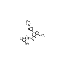 CCCc1cc(C)[nH]c(=O)c1CNC(=O)c1cc(-c2ccc(N3CCOCC3)nc2)c2ccn(CC(F)(F)F)c2c1C